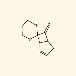 O=C1C2CC=CC2C12SCCCS2